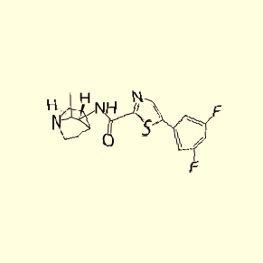 C[C@H]1[C@H](NC(=O)c2ncc(-c3cc(F)cc(F)c3)s2)C2CCN1CC2